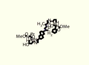 C=C/C(=C\C=C(/C)c1cnc([C@@H]2CCCN2C(=O)[C@H](NC(=O)OC)c2ccccc2)[nH]1)c1ccc2cc(-c3cnc([C@@H]4C[C@H](O)CN4C(=O)[C@@H](NC(=O)OC)C(C)C)[nH]3)ccc2c1